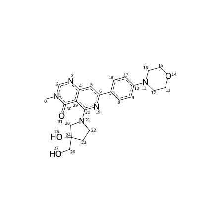 Cn1cnc2cc(-c3ccc(N4CCOCC4)cc3)nc(N3CCC(O)(CO)C3)c2c1=O